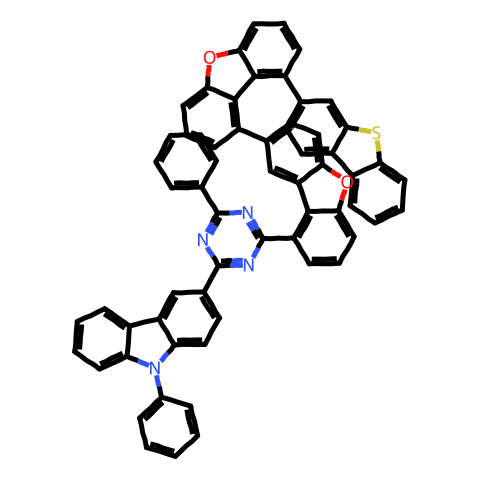 c1ccc(-c2nc(-c3ccc4c(c3)c3ccccc3n4-c3ccccc3)nc(-c3cccc4oc5ccc(-c6cccc7oc8cccc(-c9ccc%10c(c9)sc9ccccc9%10)c8c67)cc5c34)n2)cc1